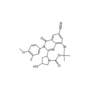 COc1ccc(-n2c(C3CC(O)CN3C(=O)OC(C)(C)C)nc3c(Br)cc(C#N)cc3c2=O)cc1F